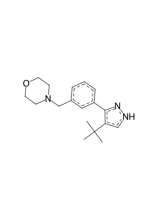 CC(C)(C)c1c[nH]nc1-c1cccc(CN2CCOCC2)c1